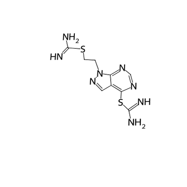 N=C(N)SCCn1ncc2c(SC(=N)N)ncnc21